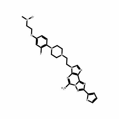 C[S+]([O-])CCOc1ccc(N2CCN(CCn3cnc4c3nc(N)n3nc(-c5ccco5)nc43)CC2)c(F)c1